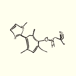 CC(=S)NOc1c(C)cc(C)c(-c2nccn2C)c1C